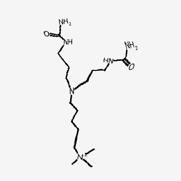 C[N+](C)(C)CCCCCN(CCCNC(N)=O)CCCNC(N)=O